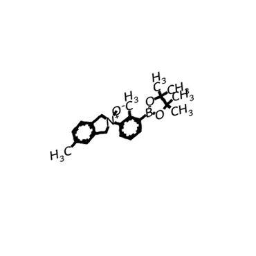 Cc1ccc2c(c1)C[N+]([O-])(c1cccc(B3OC(C)(C)C(C)(C)O3)c1C)C2